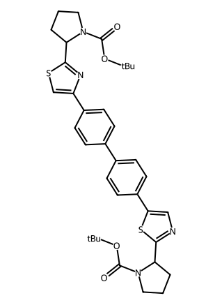 CC(C)(C)OC(=O)N1CCCC1c1nc(-c2ccc(-c3ccc(-c4cnc(C5CCCN5C(=O)OC(C)(C)C)s4)cc3)cc2)cs1